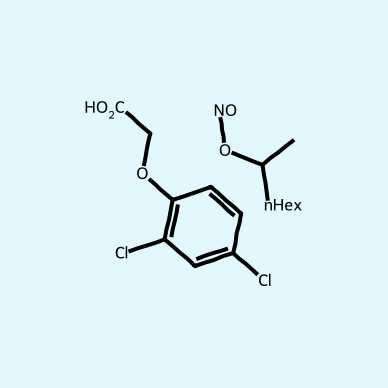 CCCCCCC(C)ON=O.O=C(O)COc1ccc(Cl)cc1Cl